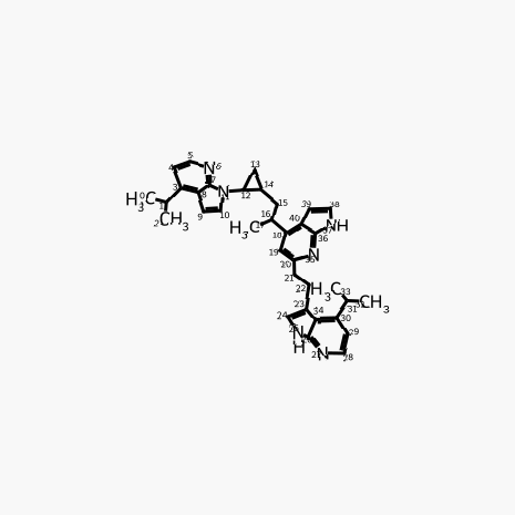 CC(C)c1ccnc2c1ccn2C1CC1CC(C)c1cc(CCc2c[nH]c3nccc(C(C)C)c23)nc2[nH]ccc12